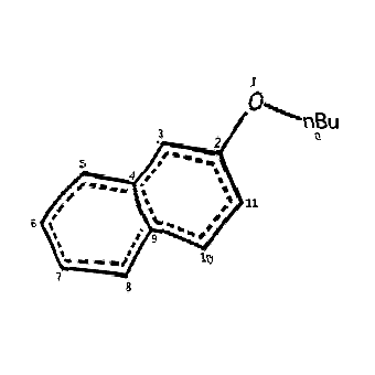 CCCCOc1[c]c2ccccc2cc1